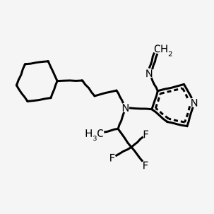 C=Nc1cnccc1N(CCCC1CCCCC1)C(C)C(F)(F)F